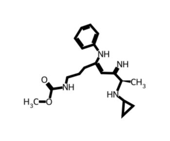 COC(=O)NCCC/C(=C/C(=N)[C@@H](C)NC1CC1)Nc1ccccc1